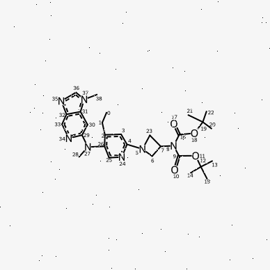 CCc1cc(N2CC(N(C(=O)OC(C)(C)C)C(=O)OC(C)(C)C)C2)ncc1N(C)c1cc2c(cn1)ncn2C